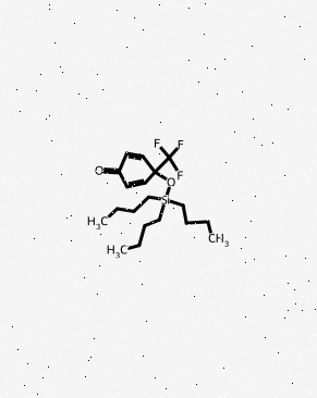 CCCC[Si](CCCC)(CCCC)OC1(C(F)(F)F)C=CC(=O)C=C1